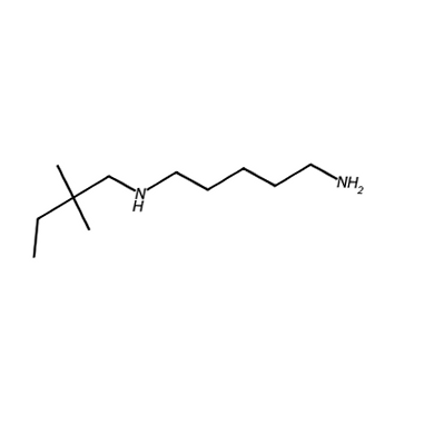 CCC(C)(C)CNCCCCCN